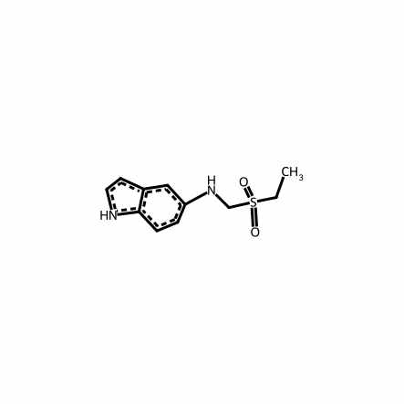 CCS(=O)(=O)CNc1ccc2[nH]ccc2c1